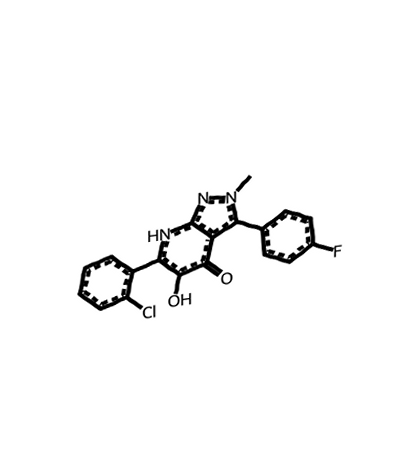 Cn1nc2[nH]c(-c3ccccc3Cl)c(O)c(=O)c2c1-c1ccc(F)cc1